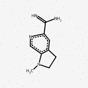 CN1CCc2cc(C(=N)N)ncc21